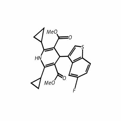 COC(=O)C1=C(C2CC2)NC(C2CC2)=C(C(=O)OC)C1c1csc2ccc(F)cc12